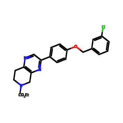 CCOC(=O)N1CCc2ncc(-c3ccc(OCc4cccc(Cl)c4)cc3)nc2C1